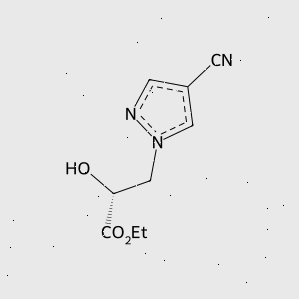 CCOC(=O)[C@H](O)Cn1cc(C#N)cn1